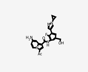 CC(=O)c1cc(C(=O)Nc2cc(CO)cc(-c3cnn(C4CC4)c3)c2F)c2cc(N)ccn12